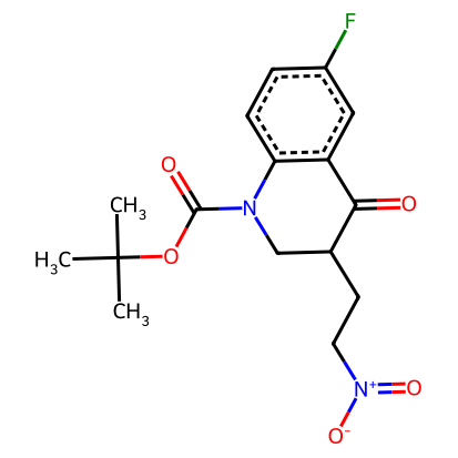 CC(C)(C)OC(=O)N1CC(CC[N+](=O)[O-])C(=O)c2cc(F)ccc21